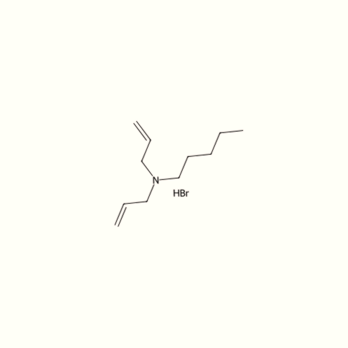 Br.C=CCN(CC=C)CCCCC